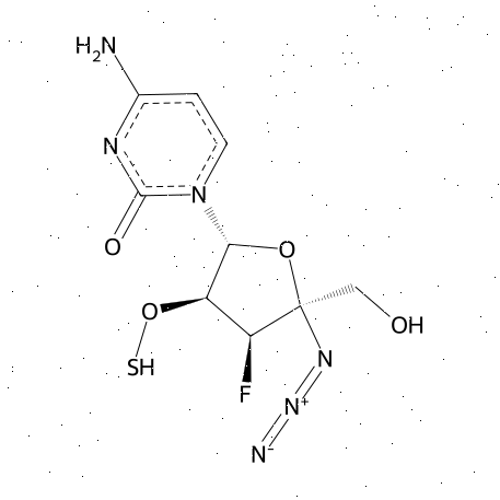 [N-]=[N+]=N[C@]1(CO)O[C@@H](n2ccc(N)nc2=O)[C@H](OS)[C@@H]1F